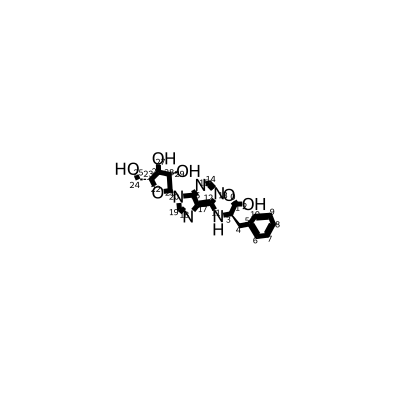 O=C(O)[C@@H](Cc1ccccc1)Nc1ncnc2c1ncn2[C@@H]1O[C@H](CO)C(O)[C@@H]1O